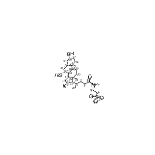 C[C@H](CCC(=O)N(C)CCS(=O)(=O)[O-])[C@H]1CCC2C3C(CC[C@@]21C)[C@@]1(C)CC[C@@H](O)CC1C[C@@H]3O.[K+]